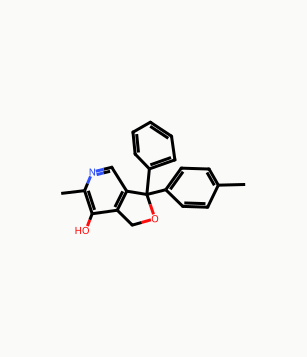 Cc1ccc(C2(c3ccccc3)OCc3c2cnc(C)c3O)cc1